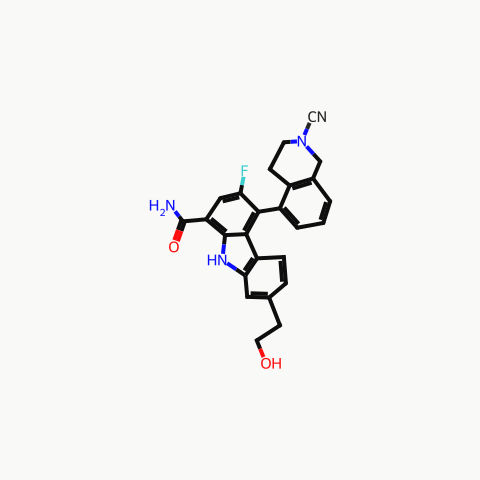 N#CN1CCc2c(cccc2-c2c(F)cc(C(N)=O)c3[nH]c4cc(CCO)ccc4c23)C1